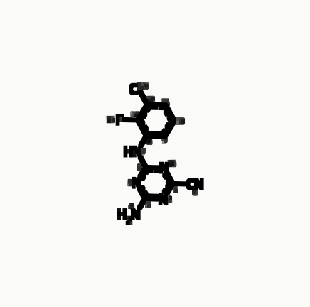 N#Cc1nc(N)nc(Nc2cccc(Cl)c2F)n1